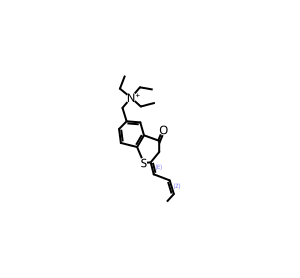 C/C=C\C=C1/CC(=O)c2cc(C[N+](CC)(CC)CC)ccc2S1